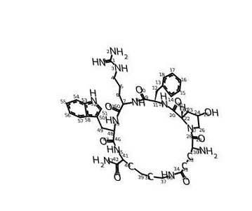 N=C(N)NCCCC1NC(=O)[C@@H](Cc2ccccc2)NC(=O)[C@@H]2CC(O)CN2C(=O)C(N)CCC(=O)NCCCCC(C(N)=O)NC(=O)C(Cc2c[nH]c3ccccc23)NC1=O